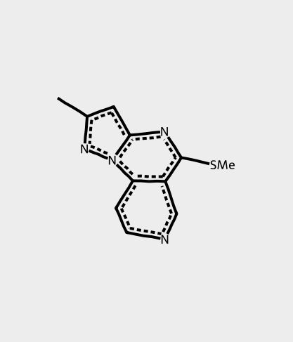 CSc1nc2cc(C)nn2c2ccncc12